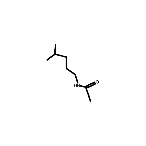 C[C](C)CCCNC(C)=O